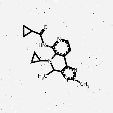 CC1c2nn(C)nc2-c2ccnc(NC(=O)C3CC3)c2N1C1CC1